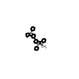 Cn1c2ccccc2c2c3cc(-c4ccc5c(c4)c4ccccc4n5-c4ccccc4)ccc3n(-c3ccccc3)c21